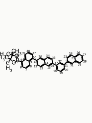 CC1(C)OB(c2cccc3c(-c4ccc5cc(-c6cccc(-c7ccc8ccccc8c7)c6)ccc5c4)cccc23)OC1(C)C